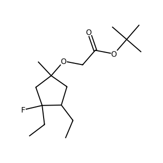 CCC1CC(C)(OCC(=O)OC(C)(C)C)CC1(F)CC